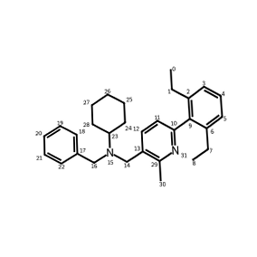 CCc1cccc(CC)c1-c1ccc(CN(Cc2ccccc2)C2CCCCC2)c(C)n1